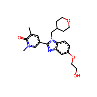 Cc1cc(-c2nc3cc(OCCO)ccc3n2CC2CCOCC2)cn(C)c1=O